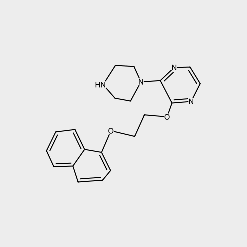 c1ccc2c(OCCOc3nccnc3N3CCNCC3)cccc2c1